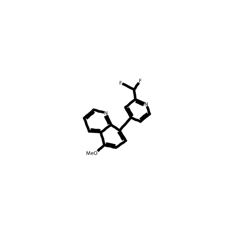 COc1ccc(-c2ccnc(C(F)F)c2)c2ncccc12